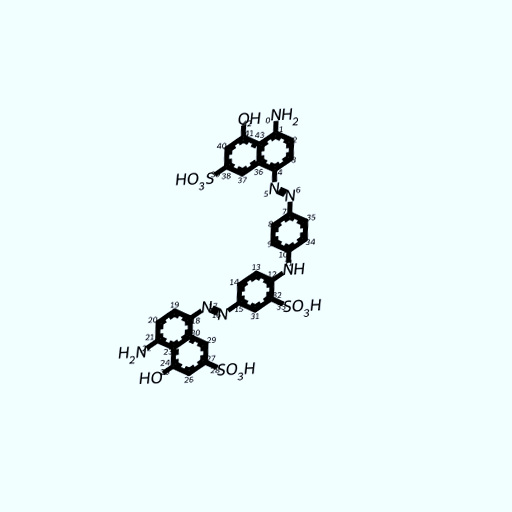 Nc1ccc(N=Nc2ccc(Nc3ccc(N=Nc4ccc(N)c5c(O)cc(S(=O)(=O)O)cc45)cc3S(=O)(=O)O)cc2)c2cc(S(=O)(=O)O)cc(O)c12